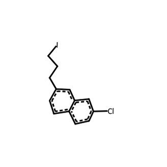 Clc1ccc2ccc(CCCI)cc2c1